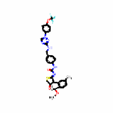 COC(C)c1ccc(C)cc1C1C(=O)CS/C1=N\C(=O)Nc1ccc(CNc2ncn(-c3ccc(OC(F)(F)F)cc3)n2)cc1